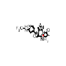 C[C@H]1CCN(c2nn(C)cc2N2C(C(N)=O)=COC2c2ccnc(NCC(F)(F)F)c2)C1=O